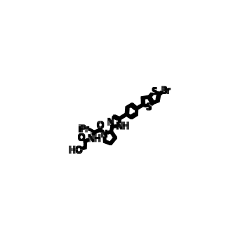 CC(C)[C@H](NC(=O)CO)C(=O)N1CCCC1c1ncc(-c2ccc(-c3cc4sc(Br)cc4s3)cc2)[nH]1